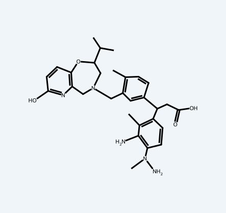 Cc1ccc(C(CC(=O)O)c2ccc(N(C)N)c(N)c2C)cc1CN1Cc2nc(O)ccc2OC(C(C)C)C1